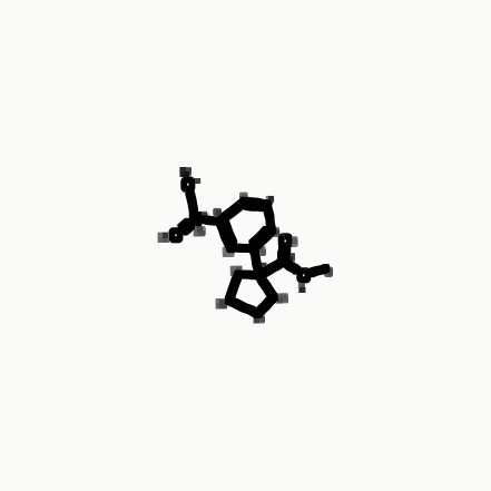 COC(=O)C1(c2cccc([N+](=O)[O-])c2)CCCC1